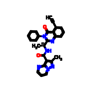 C#Cc1cccc2nc([C@@H](C)NC(=O)c3c(C)nn4cccnc34)n(-c3ccccc3)c(=O)c12